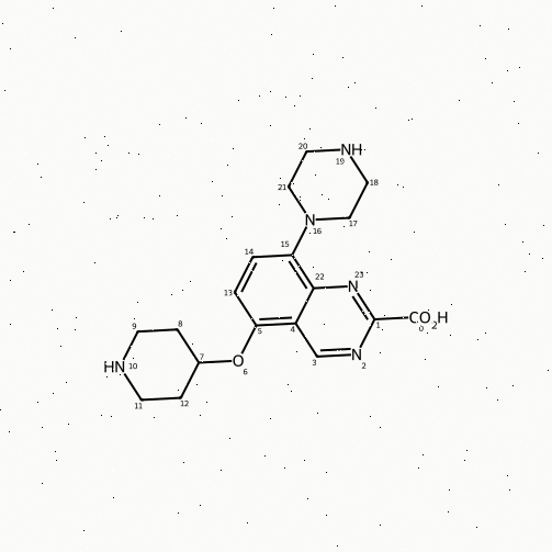 O=C(O)c1ncc2c(OC3CCNCC3)ccc(N3CCNCC3)c2n1